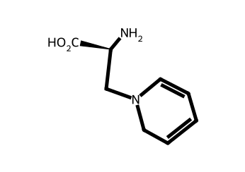 N[C@@H](CN1C=CC=CC1)C(=O)O